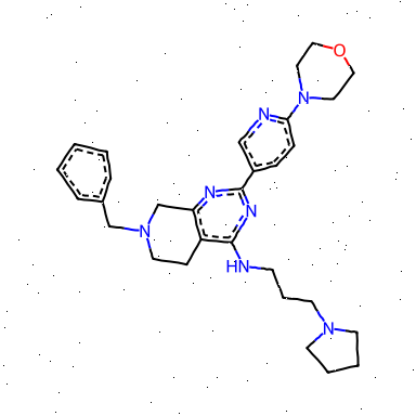 c1ccc(CN2CCc3c(nc(-c4ccc(N5CCOCC5)nc4)nc3NCCCN3CCCC3)C2)cc1